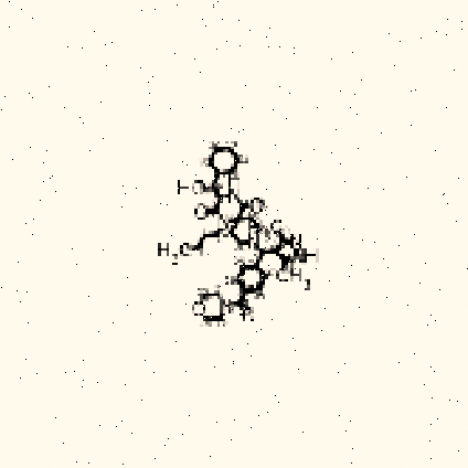 CCCCN1C(=O)[C@@H]([C@H](O)C2CCCCC2)NC(=O)C12CCN(C(c1ccc(C(=O)N3CCOCC3)cc1)c1c(C)n[nH]c1C)CC2